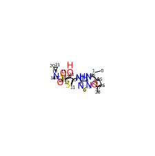 CC[C@@H](Nc1nsnc1Nc1csc(S(=O)(=O)N(C)C2CC2)c1O)c1ccc(C)o1